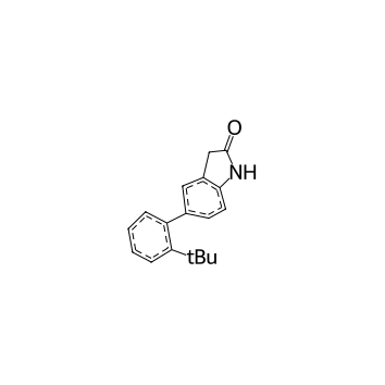 CC(C)(C)c1ccccc1-c1ccc2c(c1)CC(=O)N2